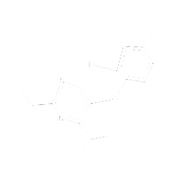 CCc1ncc(Oc2ccc(F)cc2F)c(C(C)C)n1